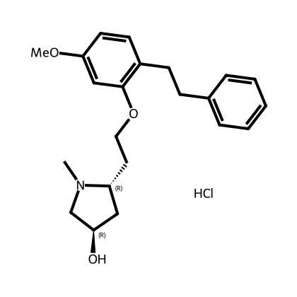 COc1ccc(CCc2ccccc2)c(OCC[C@@H]2C[C@@H](O)CN2C)c1.Cl